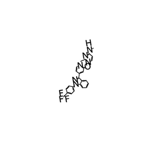 CNc1ccnc(Cn2ccc(-c3nn(-c4ccc(C(F)(F)F)cc4)c4ccccc34)cc2=O)n1